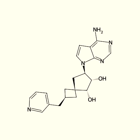 Nc1ncnc2c1ccn2[C@@H]1C[C@]2(C[C@@H](Cc3cccnc3)C2)[C@@H](O)[C@H]1O